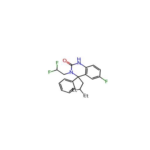 CCC(CC)CC1(c2ccccc2)c2cc(F)ccc2NC(=O)N1CC(F)F